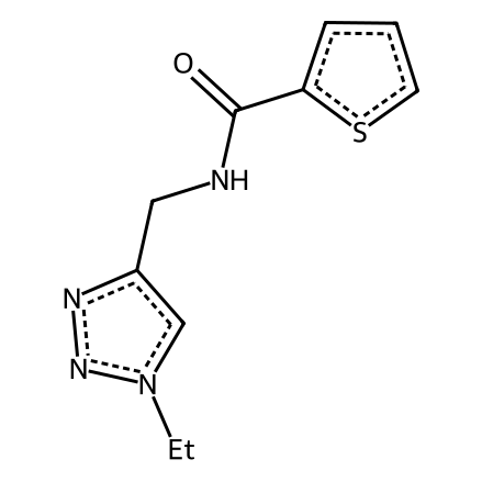 CCn1cc(CNC(=O)c2cccs2)nn1